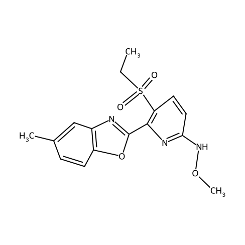 CCS(=O)(=O)c1ccc(NOC)nc1-c1nc2cc(C)ccc2o1